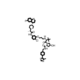 Cc1ncsc1-c1ccc(CNC(=O)[C@H]2C[C@H](O)CN2C(=O)[C@H](NCCCOc2cc(NC(=O)[C@H](C)[C@H]3CC[C@@H](c4ccnc5ccc(F)cc54)CC3)ccc2Cl)C(C)(C)C)cc1